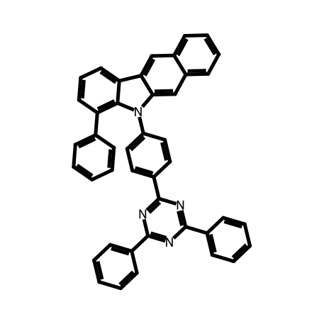 c1ccc(-c2nc(-c3ccccc3)nc(-c3ccc(-n4c5cc6ccccc6cc5c5cccc(-c6ccccc6)c54)cc3)n2)cc1